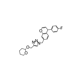 Fc1ccc(C2C=COc3cc(Cn4cc(COC5CCCCO5)nn4)ccc32)cc1